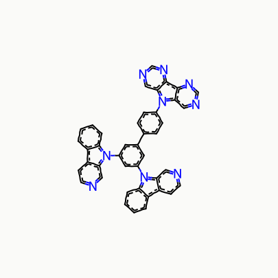 c1ccc2c(c1)c1ccncc1n2-c1cc(-c2ccc(-n3c4cncnc4c4ncncc43)cc2)cc(-n2c3ccccc3c3ccncc32)c1